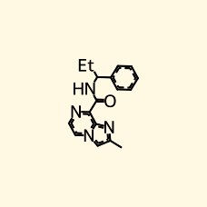 CCC(NC(=O)c1nccn2cc(C)nc12)c1ccccc1